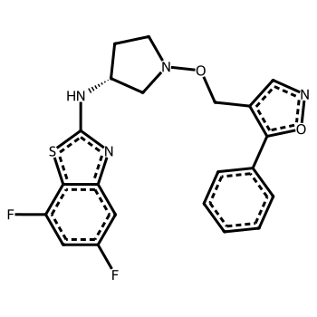 Fc1cc(F)c2sc(N[C@@H]3CCN(OCc4cnoc4-c4ccccc4)C3)nc2c1